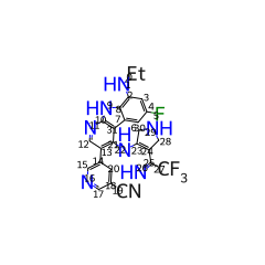 CCNc1cc(F)cc2c1[nH]c1ncc(-c3cncc(C#N)c3)c(NC3=C(C(=N)C(F)(F)F)CNC3)c12